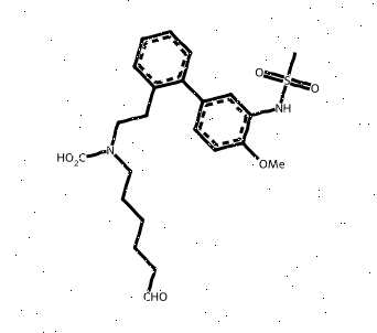 COc1ccc(-c2ccccc2CCN(CCCCCC=O)C(=O)O)cc1NS(C)(=O)=O